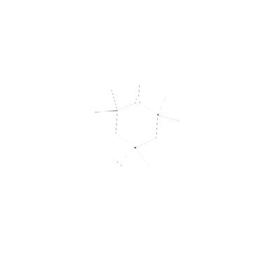 CC1(N)CC(C)(C)N(O)C(C)(C)C1